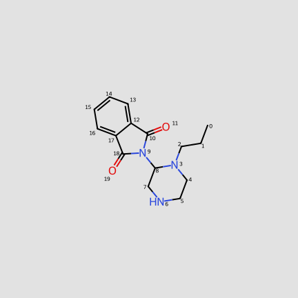 CCCN1CCNCC1N1C(=O)c2ccccc2C1=O